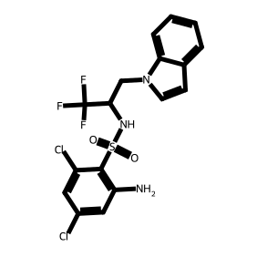 Nc1cc(Cl)cc(Cl)c1S(=O)(=O)NC(Cn1ccc2ccccc21)C(F)(F)F